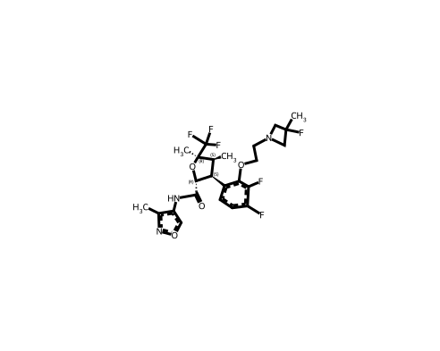 Cc1nocc1NC(=O)[C@@H]1O[C@@](C)(C(F)(F)F)[C@@H](C)[C@H]1c1ccc(F)c(F)c1OCCN1CC(C)(F)C1